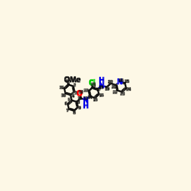 COc1ccc(-c2ccccc2C(=O)Nc2ccc(NCCc3ccccn3)c(Cl)c2)cc1